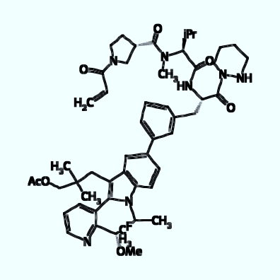 C=CC(=O)N1CC[C@H](C(=O)N(C)[C@H](C(=O)N[C@@H](Cc2cccc(-c3ccc4c(c3)c(CC(C)(C)COC(C)=O)c(-c3cccnc3[C@H](C)OC)n4C(C)F)c2)C(=O)N2CCCCN2)C(C)C)C1